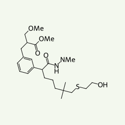 CNNC(=O)C(CCCC(C)(C)CSCCO)c1cccc(CC(COC)C(=O)OC)c1